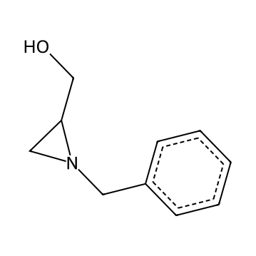 OCC1CN1Cc1ccccc1